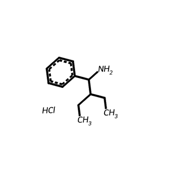 CCC(CC)C(N)c1ccccc1.Cl